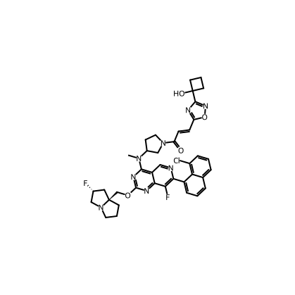 CN(c1nc(OC[C@@]23CCCN2C[C@H](F)C3)nc2c(F)c(-c3cccc4cccc(Cl)c34)ncc12)C1CCN(C(=O)/C=C/c2nc(C3(O)CCC3)no2)C1